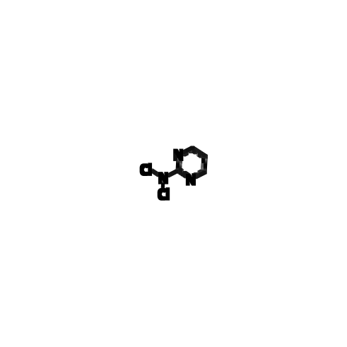 ClN(Cl)c1ncccn1